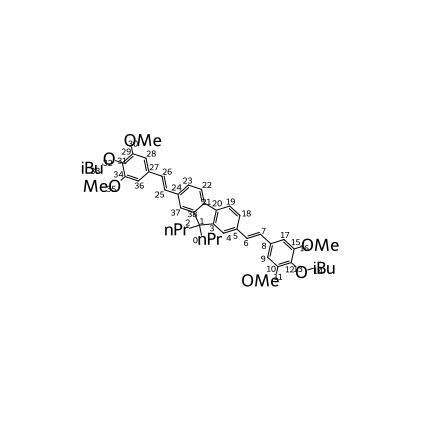 CCCC1(CCC)c2cc(/C=C/c3cc(OC)c(OC(C)CC)c(OC)c3)ccc2-c2ccc(/C=C/c3cc(OC)c(OC(C)CC)c(OC)c3)cc21